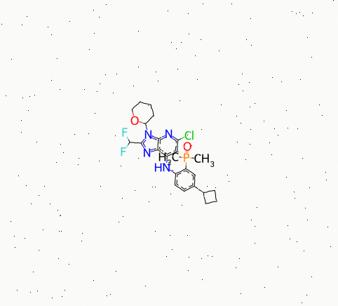 CP(C)(=O)c1cc(C2CCC2)ccc1Nc1cc(Cl)nc2c1nc(C(F)F)n2C1CCCCO1